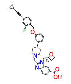 O=C(O)c1ccc2nc(CN3CCC(c4cccc(OCc5ccc(C#CC6CC6)cc5F)c4)CC3)n(C[C@@H]3CCO3)c2c1